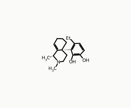 CCc1ccc(O)c(O)c1[C@@]12CCCC=C1[C@@H](C)N(C)CC2